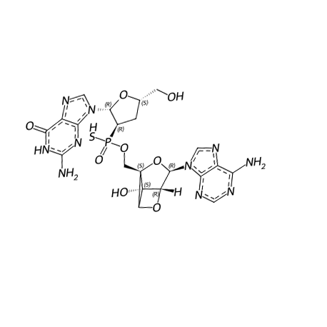 Nc1nc2c(ncn2[C@@H]2O[C@H](CO)C[C@H]2P(=O)(S)OC[C@]23O[C@@H](n4cnc5c(N)ncnc54)[C@@H]4OC2[C@]43O)c(=O)[nH]1